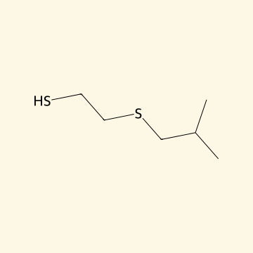 CC(C)CSCCS